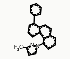 FC(F)(F)c1ccn(-c2cccc3ccc4c(-c5ccccc5)cccc4c23)n1